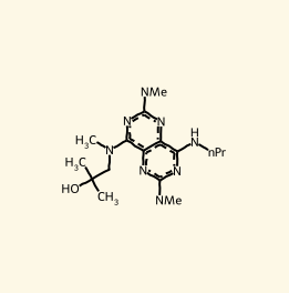 CCCNc1nc(NC)nc2c(N(C)CC(C)(C)O)nc(NC)nc12